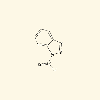 O=[N+]([O-])n1n[c]c2ccccc21